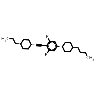 CCCC[C@H]1CC[C@H](c2cc(F)c(C#C[C@H]3CC[C@H](CCC)CC3)c(F)c2)CC1